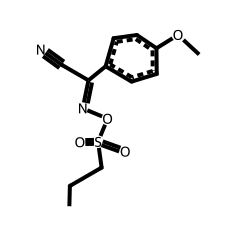 CCCS(=O)(=O)O/N=C(/C#N)c1ccc(OC)cc1